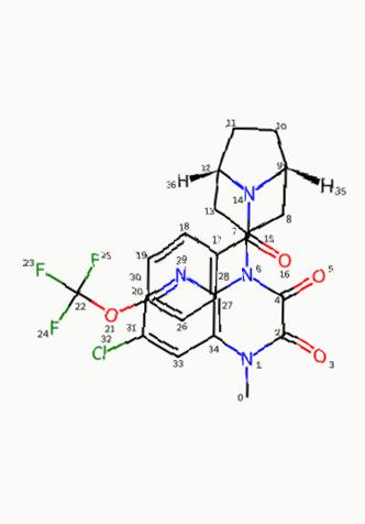 Cn1c(=O)c(=O)n(C2C[C@H]3CC[C@@H](C2)N3C(=O)c2ccc(OC(F)(F)F)cc2)c2ncc(Cl)cc21